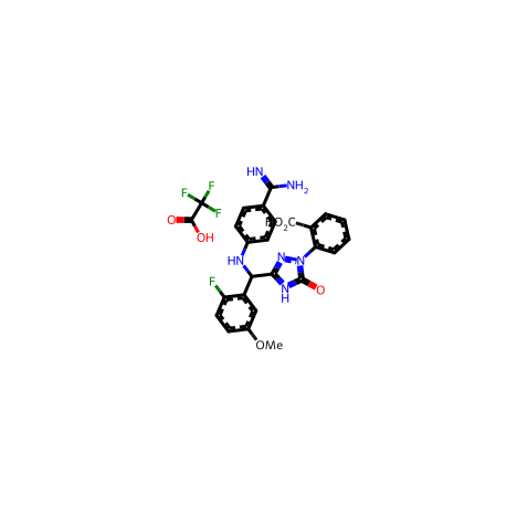 COc1ccc(F)c(C(Nc2ccc(C(=N)N)cc2)c2nn(-c3ccccc3C(=O)O)c(=O)[nH]2)c1.O=C(O)C(F)(F)F